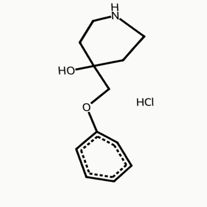 Cl.OC1(COc2ccccc2)CCNCC1